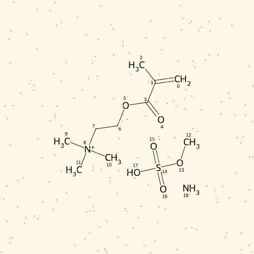 C=C(C)C(=O)OCC[N+](C)(C)C.COS(=O)(=O)O.N